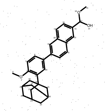 COc1ccc(-c2ccc3cc(C(O)OC)ccc3c2)cc1C12CC3CC(CC(C3)C1)C2